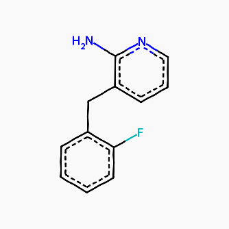 Nc1ncccc1Cc1ccccc1F